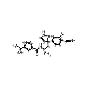 C[C@H](O)c1cc(C(=O)N[C@@H](C)CC2(c3ccc(C#N)c(Cl)c3)C=CNN2)n[nH]1